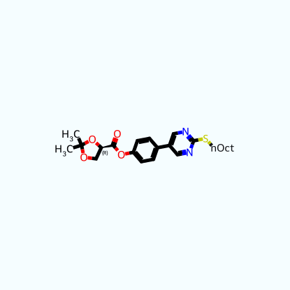 CCCCCCCCSc1ncc(-c2ccc(OC(=O)[C@H]3COC(C)(C)O3)cc2)cn1